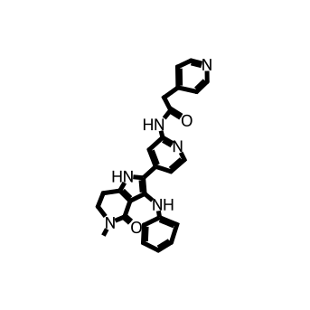 CN1CCc2[nH]c(-c3ccnc(NC(=O)Cc4ccncc4)c3)c(Nc3ccccc3)c2C1=O